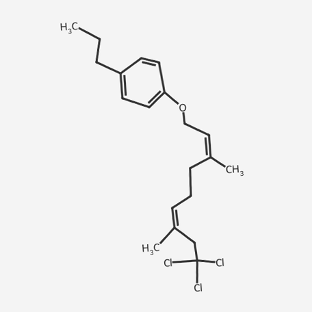 CCCc1ccc(OCC=C(C)CCC=C(C)CC(Cl)(Cl)Cl)cc1